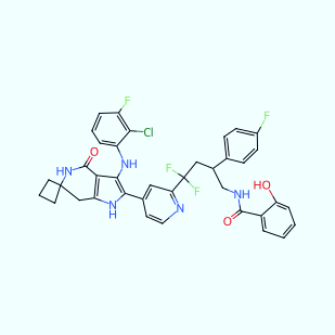 O=C(NCC(CC(F)(F)c1cc(-c2[nH]c3c(c2Nc2cccc(F)c2Cl)C(=O)NC2(CCC2)C3)ccn1)c1ccc(F)cc1)c1ccccc1O